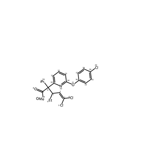 CCC(C=C(Cl)Cl)C(C(=O)OC)(c1cccc(Oc2ccc(Cl)cc2)n1)C(C)C